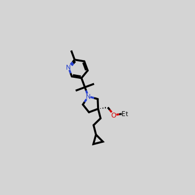 CCOC[C@]1(CCC2CC2)CCN(C(C)(C)c2ccc(C)nc2)C1